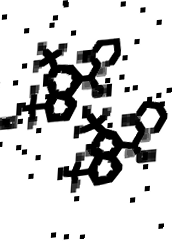 Cl.O[C@@H](c1cc(C(F)(F)F)nc2c(C(F)(F)F)cccc12)[C@H]1CCCCN1.O[C@@H](c1cc(C(F)(F)F)nc2c(C(F)(F)F)cccc12)[C@H]1CCCCN1